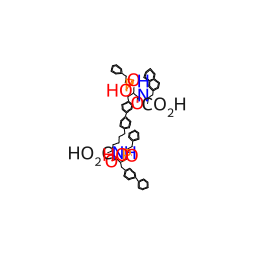 O=C(NC(CCCCc1ccc(-c2ccc(CC(CP(=O)(O)CCc3ccccc3)C(=O)NC(Cc3ccc4ccccc4c3)C(=O)O)cc2)cc1)C(=O)O)C(Cc1ccc(-c2ccccc2)cc1)CP(=O)(O)CCc1ccccc1